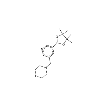 CC1(C)OB(c2cncc(CN3CCOCC3)c2)OC1(C)C